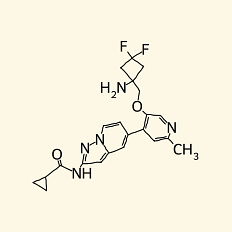 Cc1cc(-c2ccn3nc(NC(=O)C4CC4)cc3c2)c(OCC2(N)CC(F)(F)C2)cn1